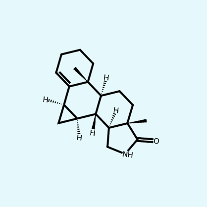 C[C@]12CCCC=C1[C@@H]1C[C@@H]1[C@@H]1[C@@H]2CC[C@]2(C)C(=O)NC[C@@H]12